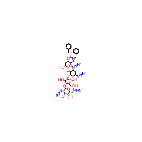 [N-]=[N+]=NCC1OC(OC2C(CO)OC(OC3C(O)C(N=[N+]=[N-])CC(N=[N+]=[N-])C3OC3OC(CN(Cc4ccccc4)C(=O)OCc4ccccc4)CCC3O)C2O)C(N=[N+]=[N-])C(O)C1O